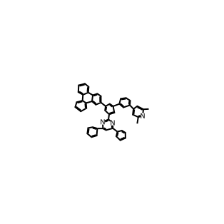 Cc1cc(-c2cccc(-c3cc(-c4ccc5c6ccccc6c6ccccc6c5c4)cc(-c4nc(-c5ccccc5)cc(-c5ccccc5)n4)c3)c2)cc(C)n1